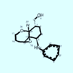 OC[C@@H]1CC[C@@H](Nc2ccccc2)[C@]23OC2CCO[C@H]13